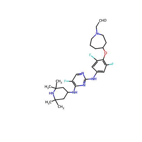 CC1(C)CC(Nc2nc(Nc3cc(F)c(OC4CCCN(CC=O)CC4)c(F)c3)ncc2F)CC(C)(C)N1